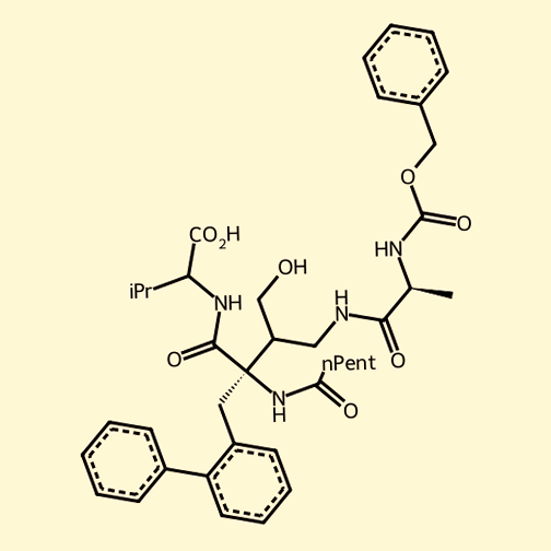 CCCCCC(=O)N[C@@](Cc1ccccc1-c1ccccc1)(C(=O)NC(C(=O)O)C(C)C)C(CO)CNC(=O)[C@H](C)NC(=O)OCc1ccccc1